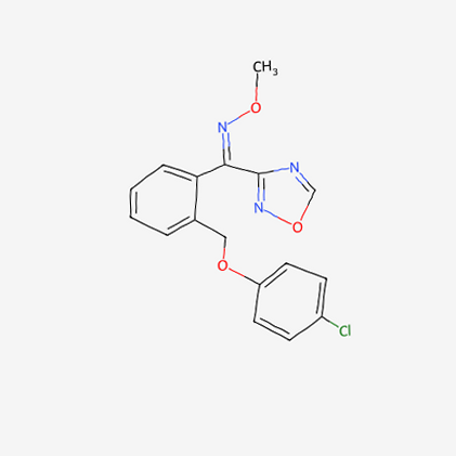 CON=C(c1ncon1)c1ccccc1COc1ccc(Cl)cc1